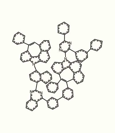 C1=C(c2ccccc2)c2cccc3c2c2c4c1cccc4ccc2n3-c1ccc(-c2nc(-c3cccc(-c4cccc(C5=C(c6ccccc6)c6cccc7c6c6c8c5cccc8ccc6n7-c5ncc(-c6ccccc6)nc5-c5cccc(-c6ccccc6)c5)c4)c3)c3ccccc3n2)c2ccccc12